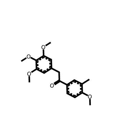 COc1ccc(C(=O)Cc2cc(OC)c(OC)c(OC)c2)cc1C